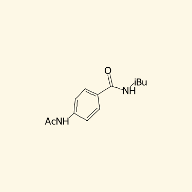 CCC(C)NC(=O)c1ccc(NC(C)=O)cc1